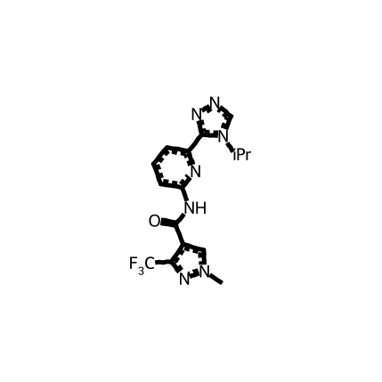 CC(C)n1cnnc1-c1cccc(NC(=O)c2cn(C)nc2C(F)(F)F)n1